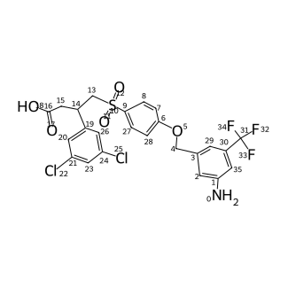 Nc1cc(COc2ccc(S(=O)(=O)CC(CC(=O)O)c3cc(Cl)cc(Cl)c3)cc2)cc(C(F)(F)F)c1